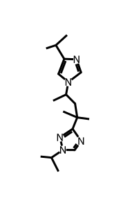 CC(C)c1cn(C(C)CC(C)(C)c2ncn(C(C)C)n2)cn1